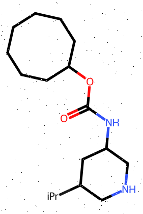 CC(C)C1[CH]C(NC(=O)OC2CCCCCCC2)CNC1